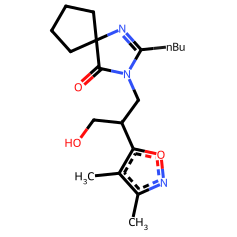 CCCCC1=NC2(CCCC2)C(=O)N1C[C](CO)c1onc(C)c1C